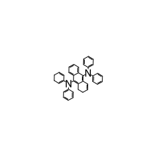 C1=CC(N(c2ccccc2)c2c3c(c(N(c4ccccc4)c4ccccc4)c4ccccc24)C=CCC3)=CCC1